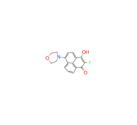 O=C1C(F)=C(O)c2ccc(N3CCOCC3)c3cccc1c23